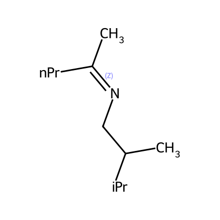 CCC/C(C)=N\CC(C)C(C)C